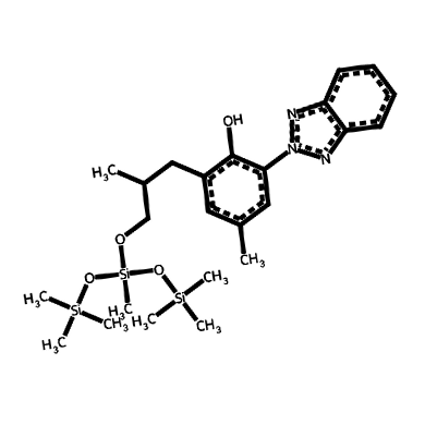 Cc1cc(CC(C)CO[Si](C)(O[Si](C)(C)C)O[Si](C)(C)C)c(O)c(-n2nc3ccccc3n2)c1